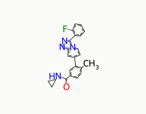 Cc1ccc(C(=O)NC2CC2)cc1-c1ccn2c(-c3ccccc3F)nnc2c1